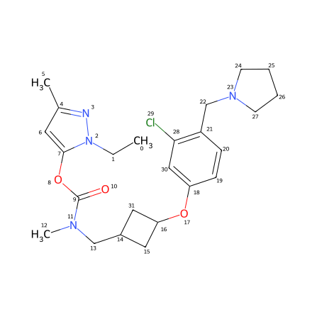 CCn1nc(C)cc1OC(=O)N(C)CC1CC(Oc2ccc(CN3CCCC3)c(Cl)c2)C1